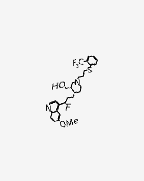 COc1ccc2nccc([C@@H](F)CC[C@@H]3CCN(CCCSc4ccccc4C(F)(F)F)C[C@@H]3CO)c2c1